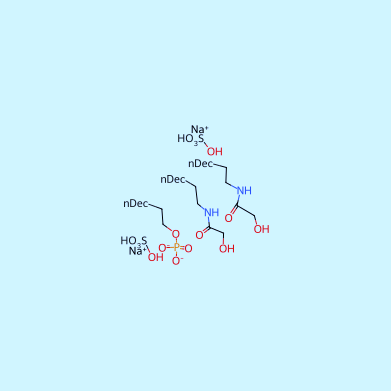 CCCCCCCCCCCCNC(=O)CO.CCCCCCCCCCCCNC(=O)CO.CCCCCCCCCCCCOP(=O)([O-])[O-].O=S(=O)(O)O.O=S(=O)(O)O.[Na+].[Na+]